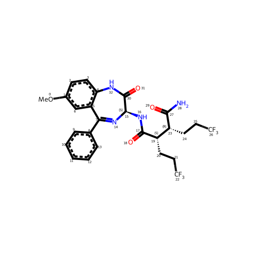 COc1ccc2c(c1)C(c1ccccc1)=N[C@H](NC(=O)[C@@H](CCC(F)(F)F)[C@@H](CCC(F)(F)F)C(N)=O)C(=O)N2